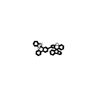 C1=CC2c3ccccc3C3(c4ccccc4Oc4ccc(C5=CC6c7nc8ccccc8n7-c7ccccc7C6C=C5)cc43)C2C=C1